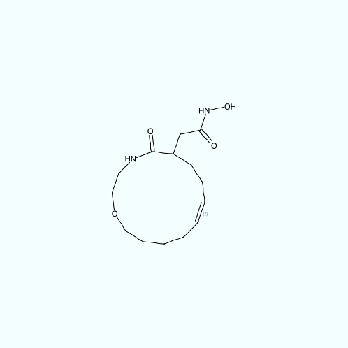 O=C(CC1CC/C=C\CCCCOCCNC1=O)NO